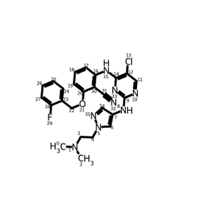 CN(C)CCn1cc(Nc2ncc(Cl)c(Nc3cccc(OCc4ccccc4F)c3C#N)n2)cn1